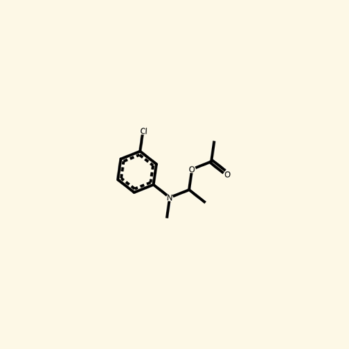 CC(=O)OC(C)N(C)c1cccc(Cl)c1